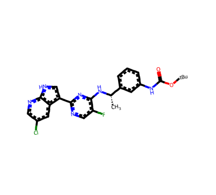 C[C@H](Nc1nc(-c2c[nH]c3ncc(Cl)cc23)ncc1F)c1cccc(NC(=O)OC(C)(C)C)c1